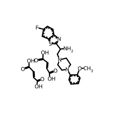 COc1ccccc1N1CCN(CC(N)c2nc3ccc(F)cc3s2)CC1.O=C(O)/C=C/C(=O)O.O=C(O)/C=C/C(=O)O